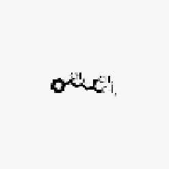 C=C(CCCC(CC)CC)c1ccccc1